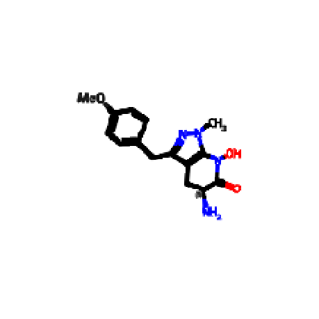 COc1ccc(Cc2nn(C)c3c2C[C@H](N)C(=O)N3O)cc1